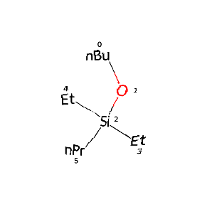 CCCCO[Si](CC)(CC)CCC